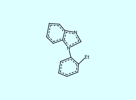 CCc1ccccc1-n1cnc2ccccc21